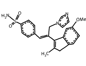 COc1ccc2c(c1)C(C(=Cc1ccc(S(N)(=O)=O)cc1)Cn1ccnc1)=C(C)C2